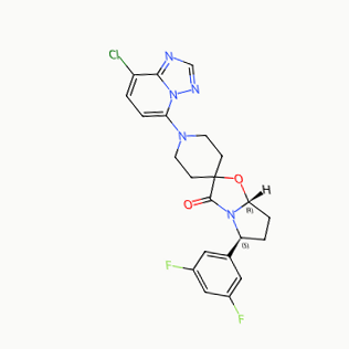 O=C1N2[C@@H](CC[C@H]2c2cc(F)cc(F)c2)OC12CCN(c1ccc(Cl)c3ncnn13)CC2